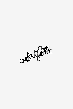 O=C(NCc1cnc2cc(Cl)ccn12)C1CN(c2nc(Cl)ncc2Cl)C1